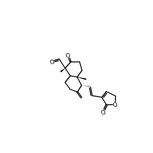 C=C1CCC2[C@](C)(CCC(=O)[C@@]2(C)C=O)[C@@H]1/C=C/C1=CCOC1=O